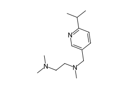 CC(C)c1ccc(CN(C)CCN(C)C)cn1